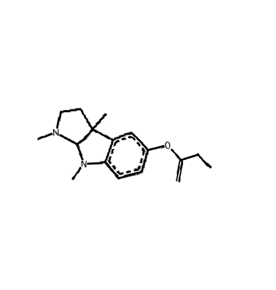 C=C(CC)Oc1ccc2c(c1)C1(C)CCN(C)C1N2C